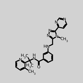 Cc1cccnc1C(C)(C)NC(=O)c1cccc(NCc2nnc(-c3ccncn3)n2C)c1